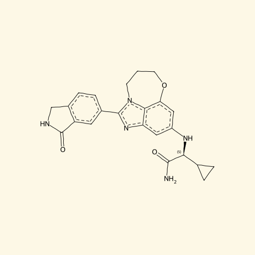 NC(=O)[C@@H](Nc1cc2c3c(c1)nc(-c1ccc4c(c1)C(=O)NC4)n3CCCO2)C1CC1